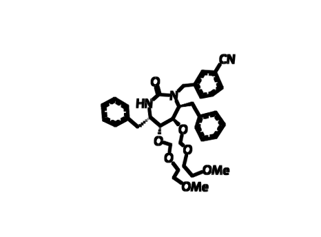 COCCOCO[C@H]1[C@H](OCOCCOC)[C@H](Cc2ccccc2)N(Cc2cccc(C#N)c2)C(=O)N[C@H]1Cc1ccccc1